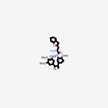 COc1ccc(-c2csnc2-c2cc(OC)c(OC)c(OC)c2)cc1NC(=O)[C@H](N)Cc1cc2ccccc2o1